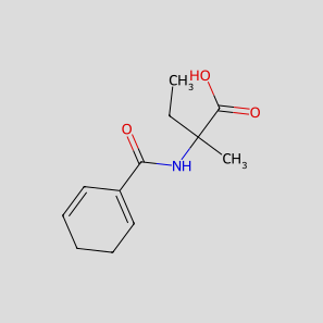 CCC(C)(NC(=O)C1=CCCC=C1)C(=O)O